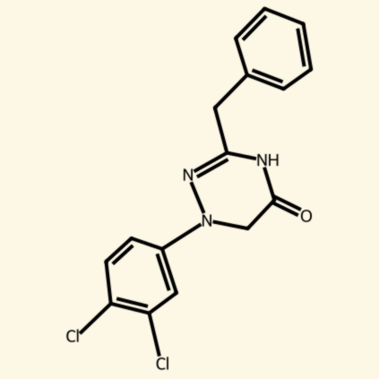 O=C1CN(c2ccc(Cl)c(Cl)c2)N=C(Cc2ccccc2)N1